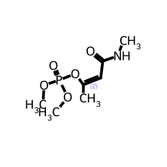 CNC(=O)/C=C(/C)OP(=O)(OC)OC